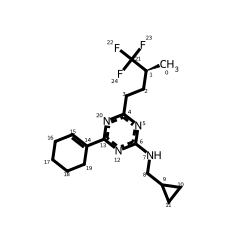 C[C@@H](CCc1nc(NCC2CC2)nc(C2=CCCCC2)n1)C(F)(F)F